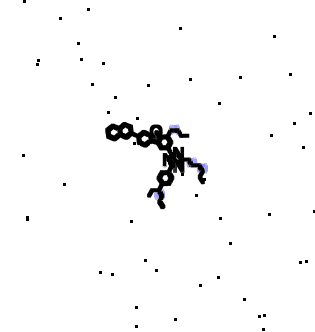 C=C/C=C(\CC)c1ccc(-c2nc(/C=C/C=C\CC)nc(-c3cc(/C=C\CC)c4oc5cc(-c6ccc7ccccc7c6)ccc5c4c3)n2)cc1